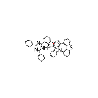 C1=CC2c3ccccc3N(c3cccc4sc5cccc(-c6ccc7sc8c(C9N=C(c%10ccccc%10)N=C(c%10ccccc%10)N9)cccc8c7c6)c5c34)C2C=C1